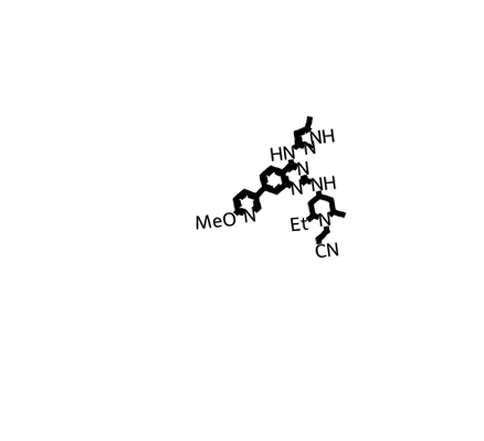 CCC1CC(Nc2nc(Nc3cc(C)[nH]n3)c3ccc(-c4ccc(OC)nc4)cc3n2)CC(C)N1CCC#N